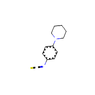 S=C=Nc1ccc(N2CCCCC2)cc1